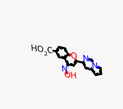 O=C(O)c1ccc2oc(-c3cc4cccn4cn3)cc(=NO)c2c1